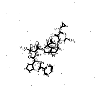 CCC[C@@H](C(=O)C(=O)NC1CC1)N1CC[C@H]2CN(C(=O)[C@@H](NC(=O)[C@@H](NC(=O)c3cnccn3)C3CCCC3)C(C)(C)C)[C@H](C1=O)[C@H]2C